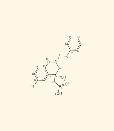 O=C(O)C[C@]1(O)C[C@@H](CCc2ccccc2)Oc2ccc(F)cc21